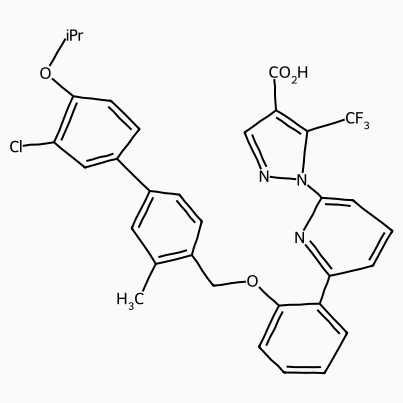 Cc1cc(-c2ccc(OC(C)C)c(Cl)c2)ccc1COc1ccccc1-c1cccc(-n2ncc(C(=O)O)c2C(F)(F)F)n1